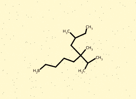 BCCCCC(C)(CC(C)CC)C(C)C